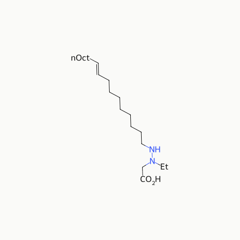 CCCCCCCCC=CCCCCCCCCNN(CC)CC(=O)O